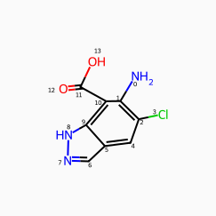 Nc1c(Cl)cc2cn[nH]c2c1C(=O)O